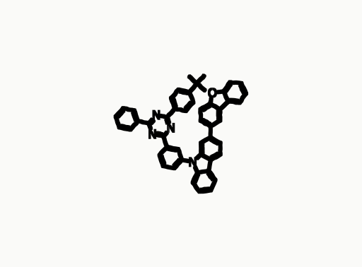 CC(C)(C)c1ccc(-c2nc(-c3ccccc3)nc(-c3cccc(-n4c5ccccc5c5ccc(-c6ccc7oc8ccccc8c7c6)cc54)c3)n2)cc1